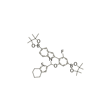 CC1(C)OB(c2cc(F)c3c(c2)OC(c2cc4c(s2)CCCC4)n2c-3cc3cc(B4OC(C)(C)C(C)(C)O4)ccc32)OC1(C)C